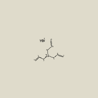 Br.C=C[CH2][U]([CH2]C=C)[CH2]C=C